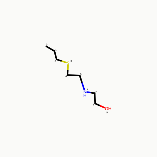 CCCSCCNCCO